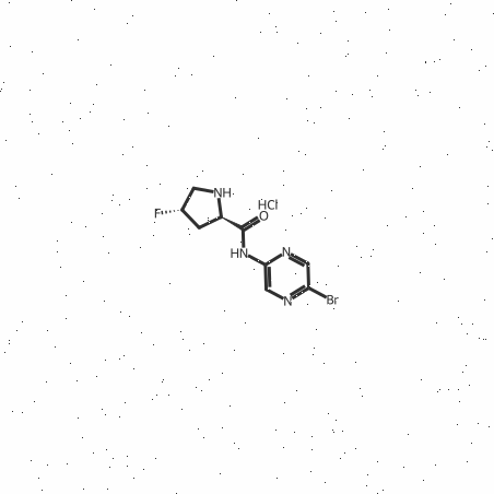 Cl.O=C(Nc1cnc(Br)cn1)[C@H]1C[C@H](F)CN1